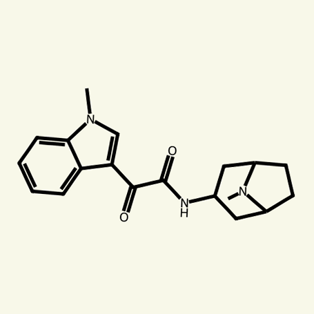 CN1C2CCC1CC(NC(=O)C(=O)c1cn(C)c3ccccc13)C2